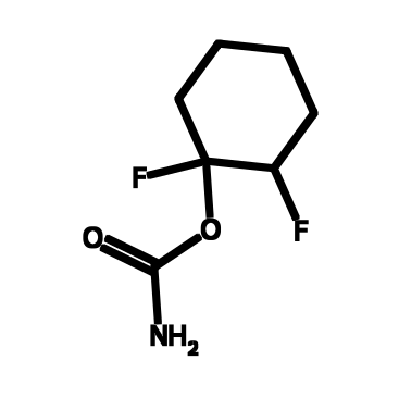 NC(=O)OC1(F)CCCCC1F